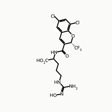 N/C(=N/O)NCCCC(NC(=O)C1=Cc2cc(Cl)cc(Cl)c2O[C@@H]1C(F)(F)F)C(=O)O